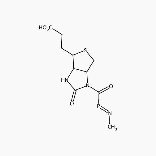 C/N=P/C(=O)N1C(=O)NC2C(CCC(=O)O)SCC21